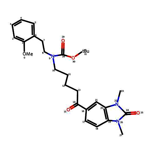 COc1ccccc1CCN(CCCCC(=O)c1ccc2c(c1)n(C)c(=O)n2C)C(=O)OC(C)(C)C